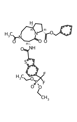 CCOP(=O)(OCC)C(F)(F)c1ccc2sc(C(=O)N[C@@H]3CN(C(C)=O)CC[C@H]4CC[C@H](C(=O)OCc5ccccc5)N4C3=O)cc2c1